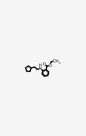 CCOC(=O)c1ccccc1NCCC1CCCC1